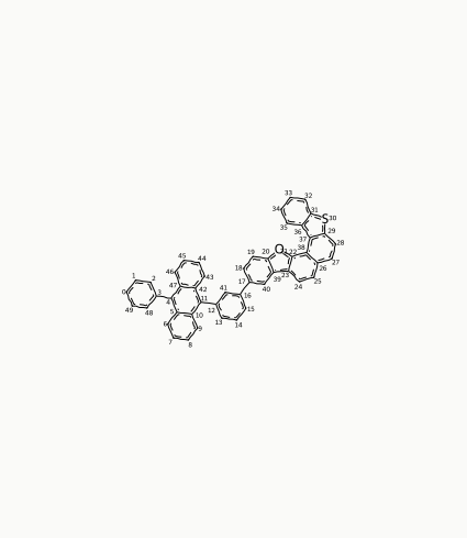 c1ccc(-c2c3ccccc3c(-c3cccc(-c4ccc5oc6c(ccc7ccc8sc9ccccc9c8c76)c5c4)c3)c3ccccc23)cc1